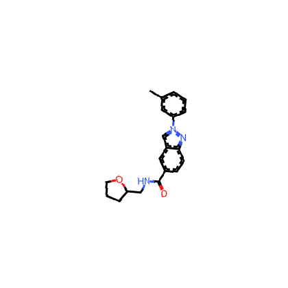 Cc1cccc(-n2cc3cc(C(=O)NCC4CCCO4)ccc3n2)c1